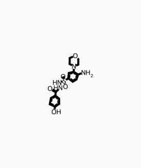 Nc1ccc(S(=O)(=O)NNC(=O)c2ccc(O)cc2)cc1N1CCOCC1